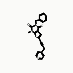 Cn1c(=O)n(Cc2ccccc2)c(=O)c2cc(C#CCc3ccncc3)sc21